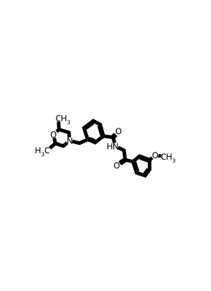 COc1cccc(C(=O)CNC(=O)c2cccc(CN3CC(C)OC(C)C3)c2)c1